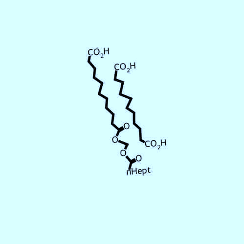 CCCCCCCC(=O)OCOC(=O)CCCCCCCCCC(=O)O.O=C(O)CCCCCCCCCC(=O)O